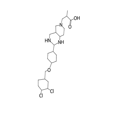 CC(CN1CCC2NC(C3CCC(OCC4CCC(Cl)C(Cl)C4)CC3)NCC2C1)C(=O)O